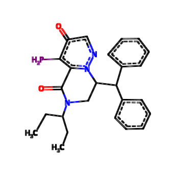 CCC(CC)N1CC(C(c2ccccc2)c2ccccc2)n2ncc(=O)c(P)c2C1=O